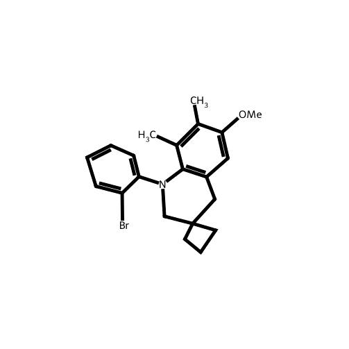 COc1cc2c(c(C)c1C)N(c1ccccc1Br)CC1(CCC1)C2